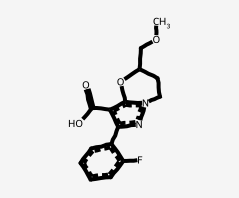 COCC1CCn2nc(-c3ccccc3F)c(C(=O)O)c2O1